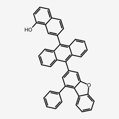 Oc1cccc2ccc(-c3c4ccccc4c(-c4cc(-c5ccccc5)c5c(c4)oc4ccccc45)c4ccccc34)cc12